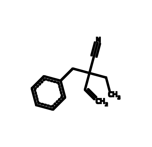 C=CC(C#N)(CC)Cc1ccccc1